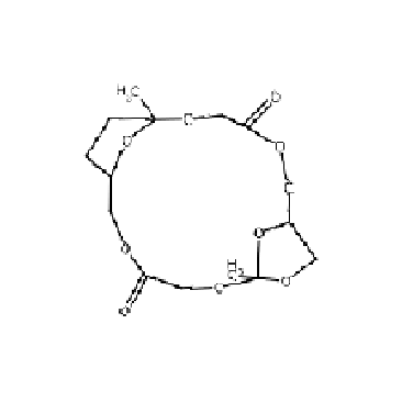 CC12CCC(=O)OCC3COC(C)(CCC(=O)OCC(CC1)O2)O3